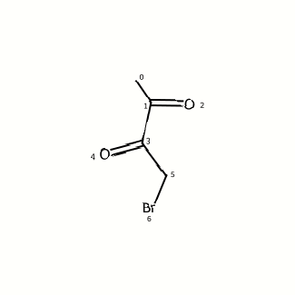 CC(=O)C(=O)CBr